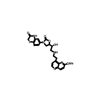 COc1ccc2nccc(CCNC[C@H](O)C3CN(c4ccc5c(c4)NC(=O)CS5)C(=O)O3)c2n1